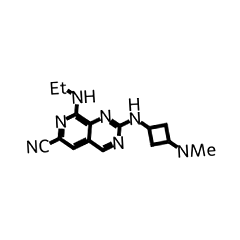 CCNc1nc(C#N)cc2cnc(NC3CC(NC)C3)nc12